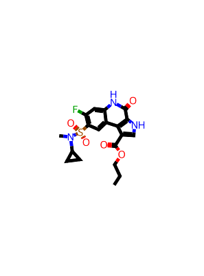 CCCOC(=O)c1c[nH]c2c(=O)[nH]c3cc(F)c(S(=O)(=O)N(C)C4CC4)cc3c12